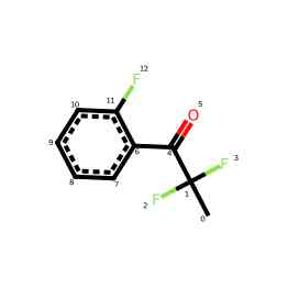 CC(F)(F)C(=O)c1ccccc1F